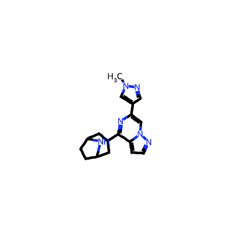 Cn1cc(-c2cn3nccc3c(C3CC4CCC(C3)N4)n2)cn1